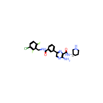 Nc1ncc(-c2cccc(C(=O)NCc3c(F)ccc(Cl)c3F)c2)nc1C(=O)N[C@H]1CCCNC1